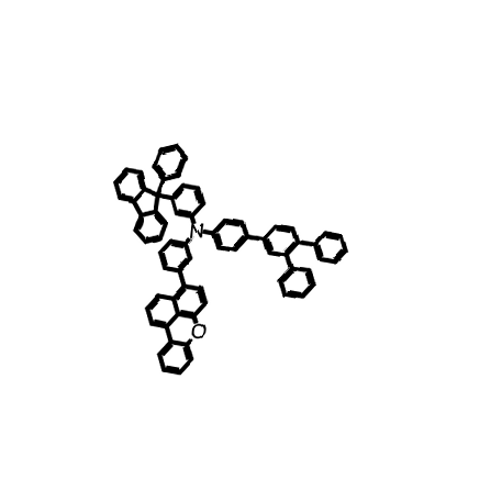 c1ccc(-c2ccc(-c3ccc(N(c4cccc(-c5ccc6c7c(cccc57)-c5ccccc5O6)c4)c4cccc(C5(c6ccccc6)c6ccccc6-c6ccccc65)c4)cc3)cc2-c2ccccc2)cc1